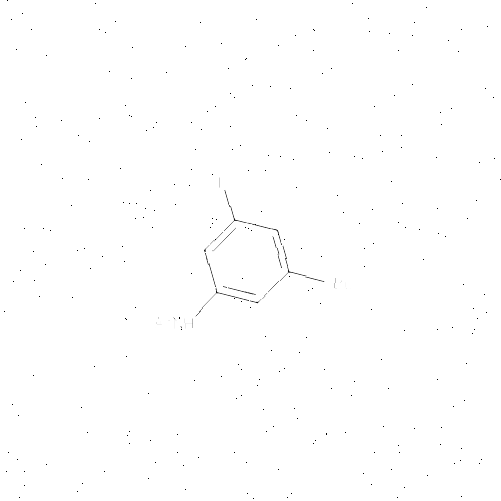 CC(=O)Nc1cc(F)cc(C(C)(C)C)c1